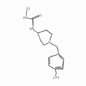 CCNC(=O)NC1CCN(Cc2ccc(O)cc2)CC1